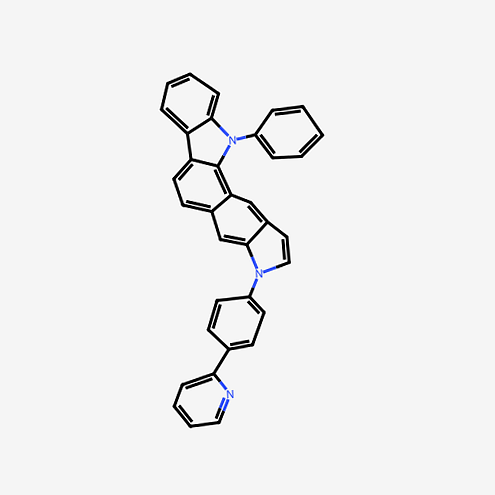 c1ccc(-n2c3ccccc3c3ccc4cc5c(ccn5-c5ccc(-c6ccccn6)cc5)cc4c32)cc1